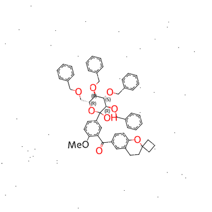 COc1ccc(C2(O)O[C@H](COCc3ccccc3)[C@@H](OCc3ccccc3)[C@H](OCc3ccccc3)[C@H]2OCc2ccccc2)cc1C(=O)c1ccc2c(c1)CCC1(CCC1)O2